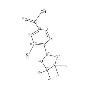 CC1(C)OB(c2ccc(C(=O)O)cc2Cl)OC1(C)C